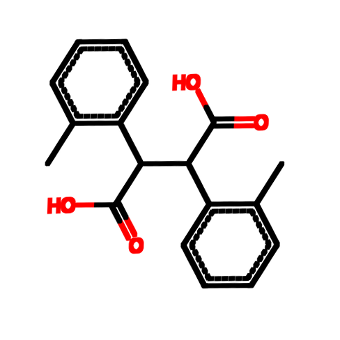 Cc1ccccc1C(C(=O)O)C(C(=O)O)c1ccccc1C